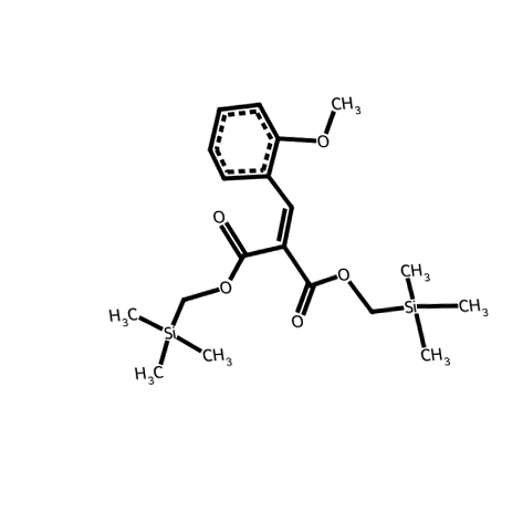 COc1ccccc1C=C(C(=O)OC[Si](C)(C)C)C(=O)OC[Si](C)(C)C